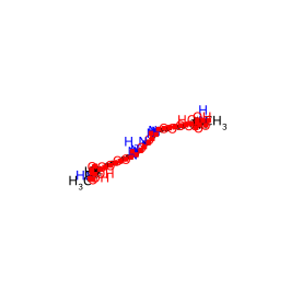 CC(=O)N[C@H]1[C@@H]2OC[C@](COCCOCCOCCOCCn3cc(COCC(N)COCc4cn(CCOCCOCCOCCOC[C@@]56CO[C@H](O5)[C@H](NC(C)=O)[C@@H](O)[C@H]6O)nn4)nn3)(O2)[C@H](O)[C@@H]1O